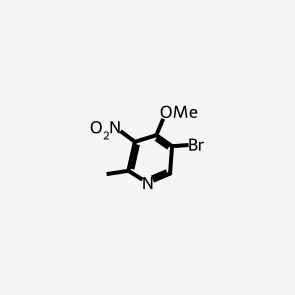 COc1c(Br)cnc(C)c1[N+](=O)[O-]